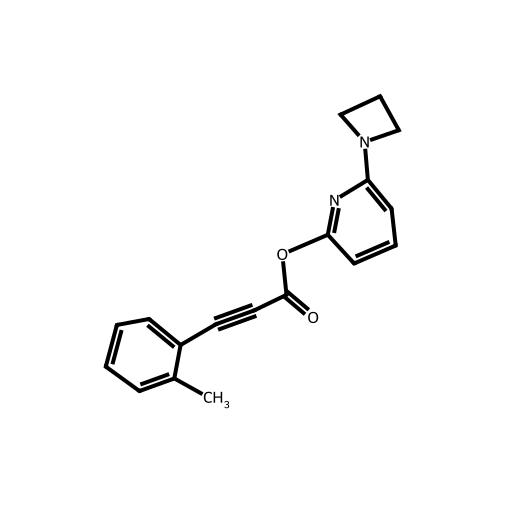 Cc1ccccc1C#CC(=O)Oc1cccc(N2CCC2)n1